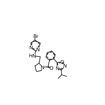 CC(C)c1noc(-c2ccccc2C(=O)N2CCCC2CNc2ncc(Br)cn2)n1